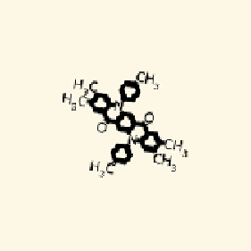 Cc1ccc(-n2c3cc(C)c(C)cc3c(=O)c3cc4c(cc32)c(=O)c2cc(C)c(C)cc2n4-c2ccc(C)cc2)cc1